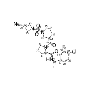 C[C@H](NC(=O)[C@H]1CCCN1C(=O)[C@H]1CCCN(S(=O)(=O)N2CC(C#N)C2)C1)c1ccc(Cl)c(F)c1